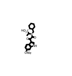 COc1ccc2c(C(=O)C(=O)N(CC3CCCCC3)C(C)C(=O)O)c[nH]c2c1